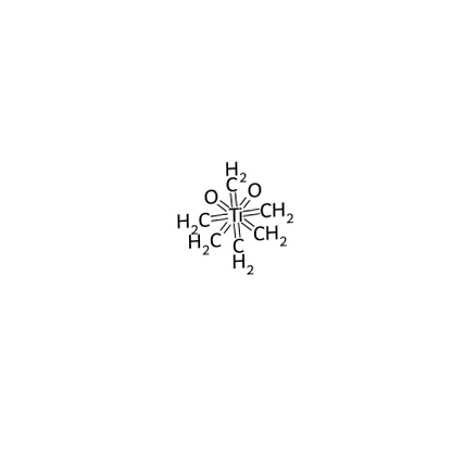 [CH2]=[Ti](=[CH2])(=[CH2])(=[CH2])(=[CH2])(=[CH2])(=[O])=[O]